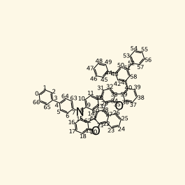 c1ccc(-c2ccc(N(c3ccccc3)c3cccc4oc5c6ccccc6c(-c6cccc7c6oc6cccc(-c8cc(-c9ccccc9)cc(-c9ccccc9)c8)c67)cc5c34)cc2)cc1